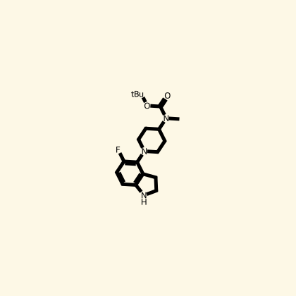 CN(C(=O)OC(C)(C)C)C1CCN(c2c(F)ccc3c2CCN3)CC1